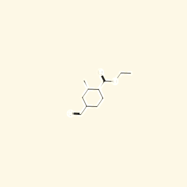 CCOC(=O)[C@H]1CCC(C=O)C[C@H]1C